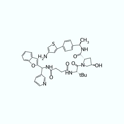 C[C@@H](NC(=O)[C@@H]1C[C@@H](O)CN1C(=O)[C@@H](NC(=O)CCC(=O)NC(c1cccnc1)c1cc2ccccc2o1)C(C)(C)C)c1ccc(-c2cc(N)cs2)cc1